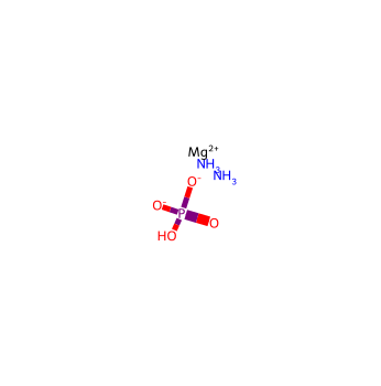 N.N.O=P([O-])([O-])O.[Mg+2]